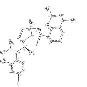 COc1ccnc(C(=S)N[C@](C)(C=O)CO[C@@H](C)[C@H](c2ccc(F)cc2C)C(C)C)c1OC(C)=O